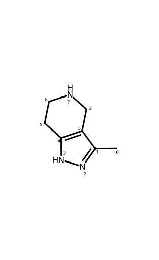 Cc1n[nH]c2c1CNCC2